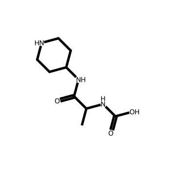 CC(NC(=O)O)C(=O)NC1CCNCC1